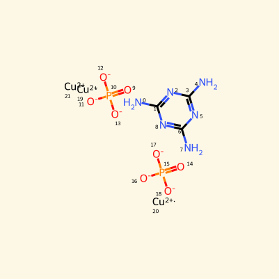 Nc1nc(N)nc(N)n1.O=P([O-])([O-])[O-].O=P([O-])([O-])[O-].[Cu+2].[Cu+2].[Cu+2]